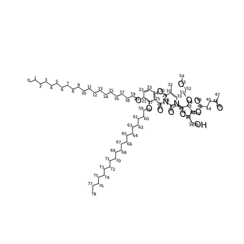 CCCCCCCCCCCCCCCCCCCCOc1cccc(C(=O)n2c(=O)c(C)cn([C@@H]3O[C@H](CO)[C@H](OC(=O)CCC(C)=O)C3OCCOC)c2=O)c1OCCCCCCCCCCCCCCCCCCCC